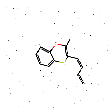 C=C/C=C\C1=C(C)Oc2ccccc2S1